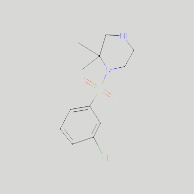 CC1(C)CNCCN1S(=O)(=O)c1cccc(Cl)c1